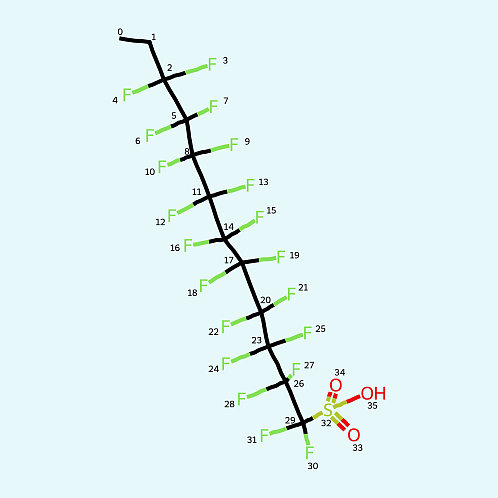 CCC(F)(F)C(F)(F)C(F)(F)C(F)(F)C(F)(F)C(F)(F)C(F)(F)C(F)(F)C(F)(F)C(F)(F)S(=O)(=O)O